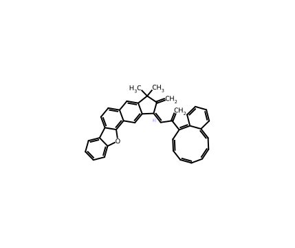 C=C(/C=C1\C(=C)C(C)(C)c2cc3ccc4c5ccccc5oc4c3cc21)c1cccccccc2ccccc12